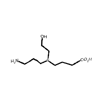 NCCCN(CCO)CCCC(=O)O